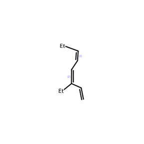 C=C/C(=C\C=C/CC)CC